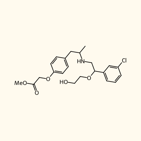 COC(=O)COc1ccc(CC(C)NCC(OCCO)c2cccc(Cl)c2)cc1